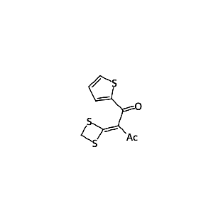 CC(=O)C(C(=O)c1cccs1)=C1SCS1